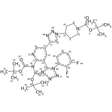 CC(C)(C)OC(=O)N1CCC(n2cc(-c3cnc(N(C(=O)OC(C)(C)C)C(=O)OC(C)(C)C)c(-c4nnnn4-c4cccc(F)c4F)c3)nn2)CC1